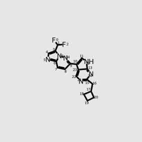 FC(F)c1cnc2ccc(-c3c[nH]c4nc(CC5CCC5)ncc34)nn12